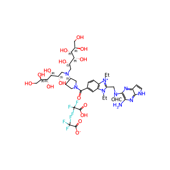 CCn1c(CN(C=O)c2nc3cc[nH]c3nc2N)[n+](CC)c2ccc(C(=O)N3CC[C@H](N(C[C@H](O)[C@@H](O)[C@H](O)[C@H](O)CO)C[C@H](O)[C@@H](O)[C@H](O)[C@H](O)CO)C3)cc21.O=C(O)C(F)(F)F.O=C([O-])C(F)(F)F